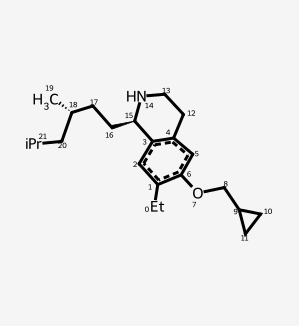 CCc1cc2c(cc1OCC1CC1)CCN[C@@H]2CC[C@@H](C)CC(C)C